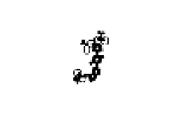 C=C(C)C(=O)OCC1CCc2ccc(-c3cc(C)c(-c4ccc(OC(=O)C(=C)C)c(OC(=O)C(=C)C)c4)cc3C)cc21